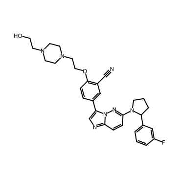 N#Cc1cc(-c2cnc3ccc(N4CCCC4c4cccc(F)c4)nn23)ccc1OCCN1CCN(CCO)CC1